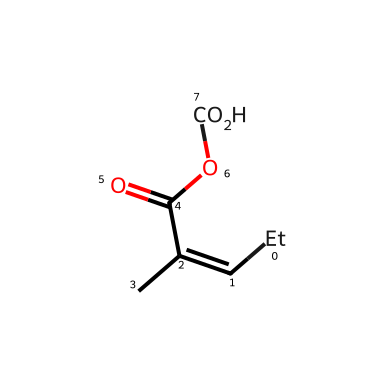 CCC=C(C)C(=O)OC(=O)O